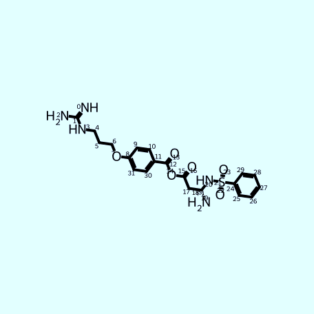 N=C(N)NCCCOc1ccc(C(=O)OC(=O)C[C@@H](N)NS(=O)(=O)c2ccccc2)cc1